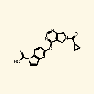 O=C(C1CC1)N1Cc2ncnc(Oc3ccc4c(ccn4C(=O)O)c3)c2C1